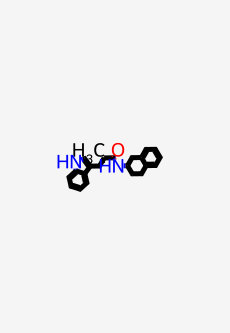 C[C](Cc1c[nH]c2ccccc12)C(=O)NC1CCc2ccccc2C1